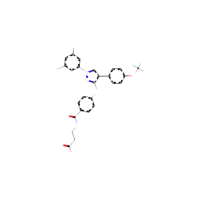 O=C(O)CCNC(=O)c1ccc(Oc2nn(-c3cc(Cl)cc(Cl)c3)cc2-c2ccc(OC(F)(F)F)cc2)cc1